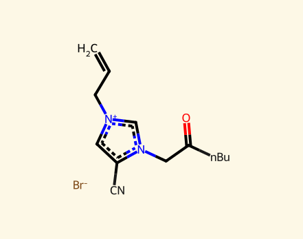 C=CC[n+]1cc(C#N)n(CC(=O)CCCC)c1.[Br-]